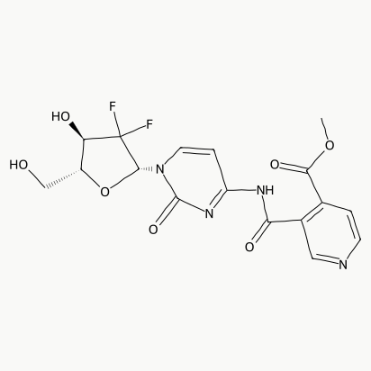 COC(=O)c1ccncc1C(=O)Nc1ccn([C@@H]2O[C@H](CO)[C@@H](O)C2(F)F)c(=O)n1